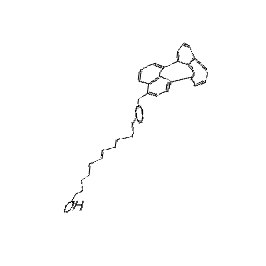 OCCCCCCCCCCCOCc1ccc2c3cccc4cccc(c5cccc1c52)c43